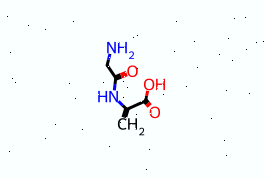 C=C(NC(=O)CN)C(=O)O